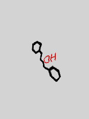 OC(CCC1CCCCC1)CC1CCCCC1